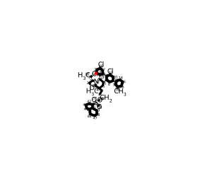 C=CC[C@@]1(C)C[C@H](c2cccc(Cl)c2)[C@@H](c2ccc(Cl)cc2)[N+]2=C1OC[C@@H]2C(C)C.Cc1ccccc1.O=S(=O)([O-])c1cccc2ccccc12